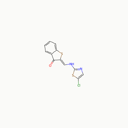 O=C1C(=CNc2ncc(Cl)s2)Sc2ccccc21